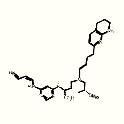 CO[C@H](C)CN(CCCCc1ccc2c(n1)NCCC2)CCC(Nc1cc(N/C=C\C=N)ncn1)C(=O)O